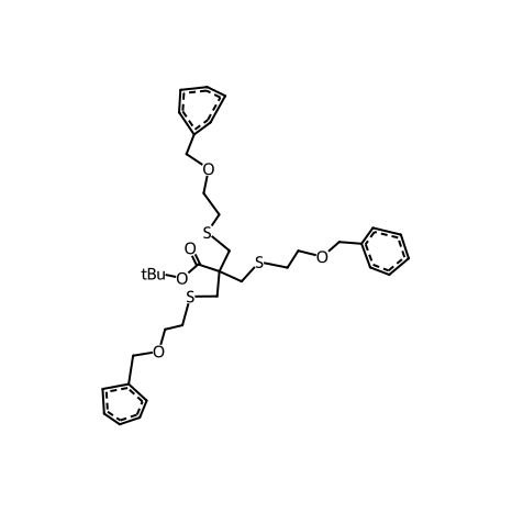 CC(C)(C)OC(=O)C(CSCCOCc1ccccc1)(CSCCOCc1ccccc1)CSCCOCc1ccccc1